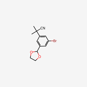 CC(C)(C#N)c1cc(Br)cc(C2OCCO2)c1